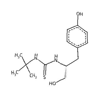 CC(C)(C)NC(=S)N[C@@H](CO)Cc1ccc(O)cc1